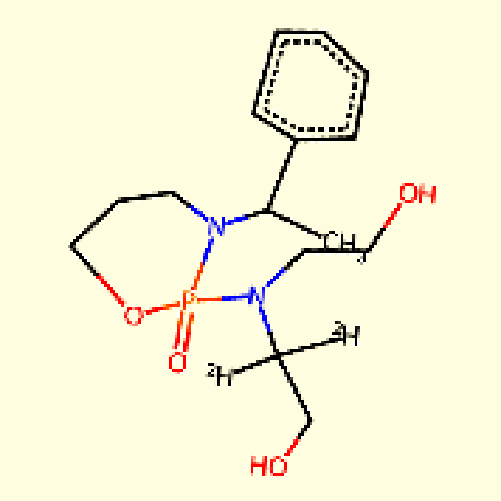 [2H]C([2H])(CO)N(CCO)P1(=O)OCCCN1C(C)c1ccccc1